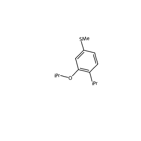 CSc1ccc(C(C)C)c(OC(C)C)c1